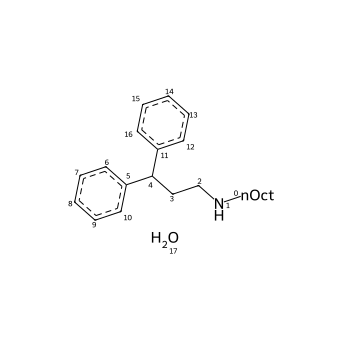 CCCCCCCCNCCC(c1ccccc1)c1ccccc1.O